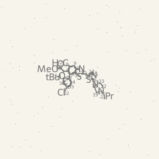 COC(=O)[C@@H](OC(C)(C)C)c1c(C)cc2nc(-c3cnc(N4CCN(C(C)C)CC4)s3)sc2c1-c1ccc(Cl)cc1